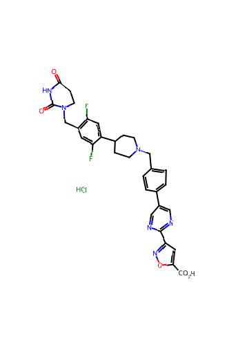 Cl.O=C1CCN(Cc2cc(F)c(C3CCN(Cc4ccc(-c5cnc(-c6cc(C(=O)O)on6)nc5)cc4)CC3)cc2F)C(=O)N1